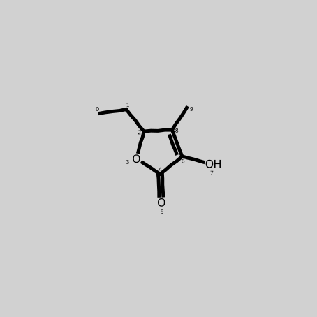 CCC1OC(=O)C(O)=C1C